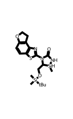 C[SiH]1NC(=O)N(c2nc3c4c(ccc3s2)OCC4)C1CO[Si](C)(C)C(C)(C)C